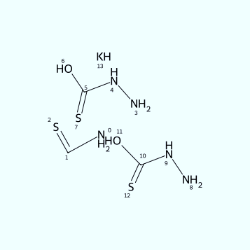 NC=S.NNC(O)=S.NNC(O)=S.[KH]